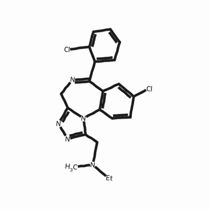 CCN(C)Cc1nnc2n1-c1ccc(Cl)cc1C(c1ccccc1Cl)=NC2